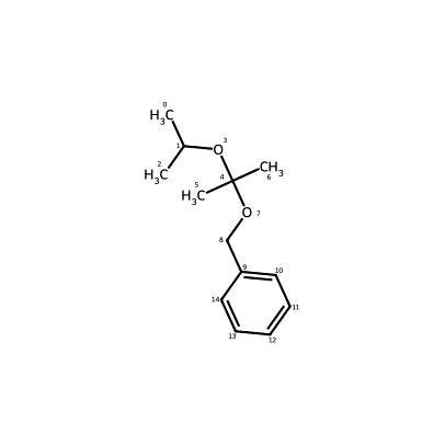 CC(C)OC(C)(C)OCc1ccccc1